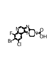 O=C(O)N1CCn2c(nc3cnc4c(F)c(Br)c(Cl)cc4c32)C1